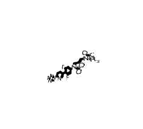 CC(=O)NCC1CN(c2cc(F)c(-c3ccc(-n4cnnn4)nc3)c(F)c2)C(=O)O1